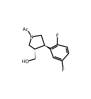 CC(=O)N1C[C@@H](CO)[C@H](c2cc(F)ccc2F)C1